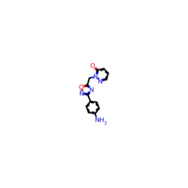 Nc1ccc(-c2noc(Cn3ncccc3=O)n2)cc1